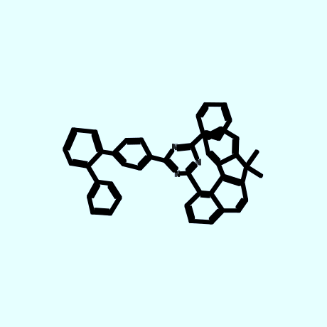 CC1(C)c2ccccc2-c2c1ccc1cccc(-c3nc(-c4ccccc4)nc(-c4ccc(-c5ccccc5-c5ccccc5)cc4)n3)c21